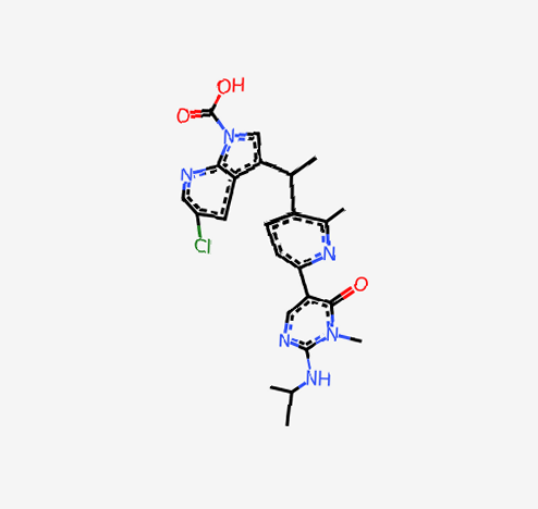 Cc1nc(-c2cnc(NC(C)C)n(C)c2=O)ccc1C(C)c1cn(C(=O)O)c2ncc(Cl)cc12